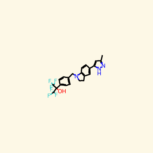 Cc1cc(-c2ccc3c(c2)CCN3Cc2ccc(C(O)(C(F)(F)F)C(F)(F)F)cc2)[nH]n1